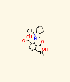 CCN1c2ccccc2CN1c1c(C(=O)O)ccc(C)c1C(=O)O